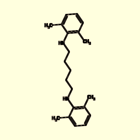 Cc1cccc(C)c1NCCCCCNc1c(C)cccc1C